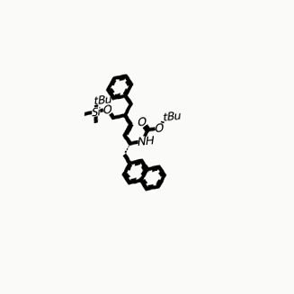 CC(C)(C)OC(=O)N[C@@H](C=CC(CO[Si](C)(C)C(C)(C)C)Cc1ccccc1)Cc1ccc2ccccc2c1